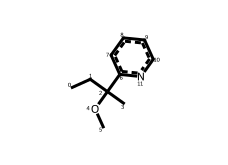 CCC(C)(OC)c1ccccn1